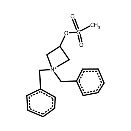 CS(=O)(=O)OC1C[N+](Cc2ccccc2)(Cc2ccccc2)C1